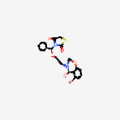 O=C1c2c(Br)cccc2OCN1CCOC(c1ccccc1)N1C(=O)CSC1=O